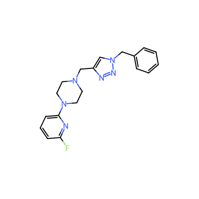 Fc1cccc(N2CCN(Cc3cn(Cc4ccccc4)nn3)CC2)n1